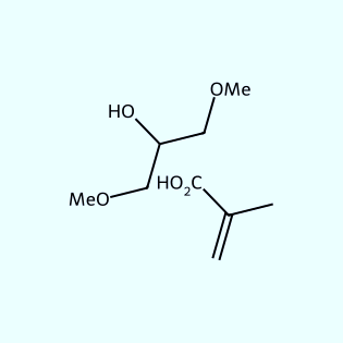 C=C(C)C(=O)O.COCC(O)COC